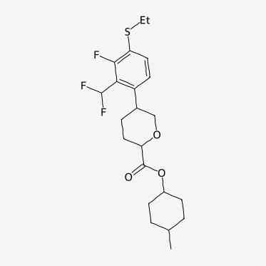 CCSc1ccc(C2CCC(C(=O)OC3CCC(C)CC3)OC2)c(C(F)F)c1F